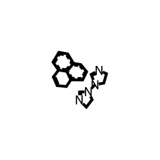 C1=Cc2cccc3cccc(c23)C1.C1=NCCN1N1C=NCC1